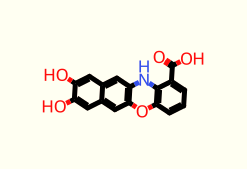 O=C(O)c1cccc2c1Nc1cc3cc(O)c(O)cc3cc1O2